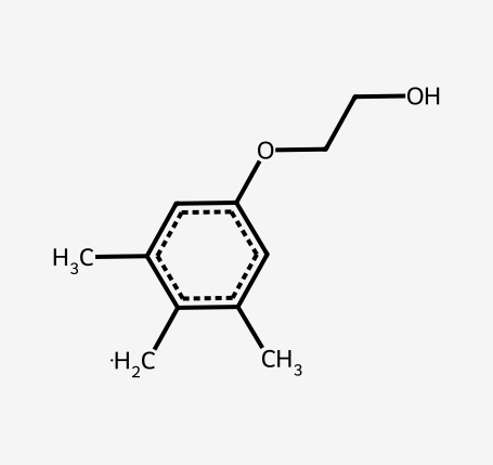 [CH2]c1c(C)cc(OCCO)cc1C